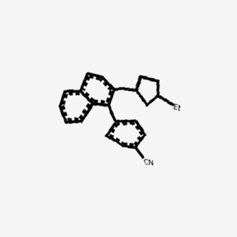 [CH2]CC1C[CH]C(c2ccc3ccccc3c2-c2ccc(C#N)cc2)C1